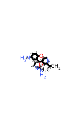 C=C(C)c1cc2c(cn1)Oc1ccc(N)cc1[C@@]21CCN=C(N)O1